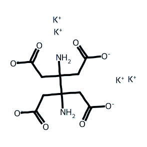 NC(CC(=O)[O-])(CC(=O)[O-])C(N)(CC(=O)[O-])CC(=O)[O-].[K+].[K+].[K+].[K+]